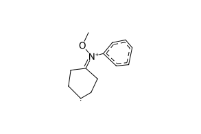 CO[N+](=C1CC[CH]CC1)c1ccccc1